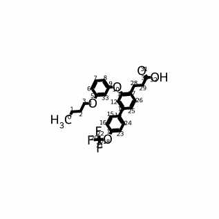 CCCCOc1cccc(Oc2cc(-c3ccc(OC(F)(F)F)cc3)ccc2CCC(=O)O)c1